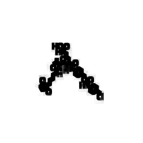 CC(C)C(NC(=O)CCCCCN1C(=O)C=CC1=O)C(=O)N[C@@H](CCCNC(=O)O)C(=O)Nc1ccc(COC(=O)Nc2ccc(CCl)cc2)cc1